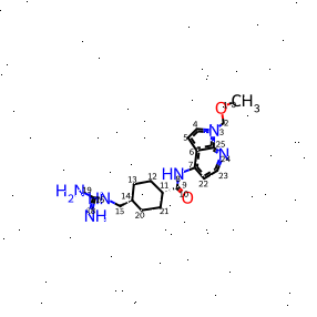 COCn1ccc2c(NC(=O)[C@H]3CC[C@H](CNC(=N)N)CC3)ccnc21